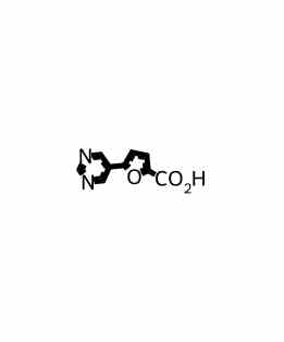 O=C(O)c1ccc(-c2cncnc2)o1